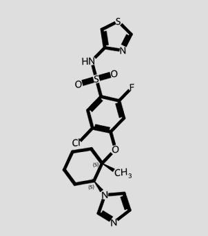 C[C@]1(Oc2cc(F)c(S(=O)(=O)Nc3cscn3)cc2Cl)CCCC[C@@H]1n1ccnc1